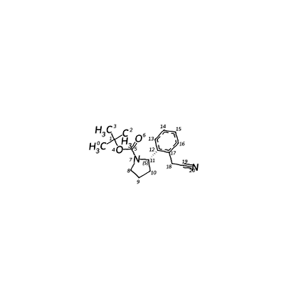 CC(C)(C)OC(=O)N1CCC[C@H]1c1ccccc1CC#N